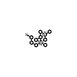 N#Cc1cccc(-c2cccc(-c3cccc(-c4nc(-c5ccccc5)nc(-c5ccc(-c6ccccc6-c6nc(-c7ccccc7)cc(-c7ccccc7)n6)cc5-c5ccccc5)n4)c3)c2)c1